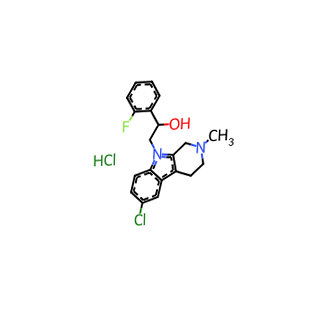 CN1CCc2c(n(CC(O)c3ccccc3F)c3ccc(Cl)cc23)C1.Cl